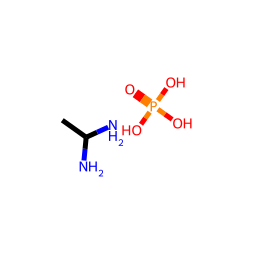 CC(N)N.O=P(O)(O)O